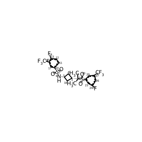 CC(C)([C@H]1C[C@@H](NS(=O)(=O)c2ccc(F)c(C(F)(F)F)c2)C1)S(=O)(=O)c1cc(F)cc(C(F)(F)F)c1